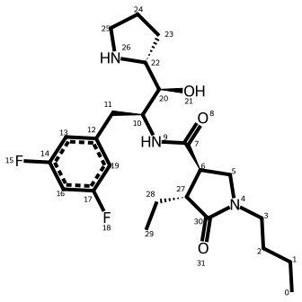 CCCCN1C[C@H](C(=O)N[C@@H](Cc2cc(F)cc(F)c2)[C@H](O)[C@H]2CCCN2)[C@@H](CC)C1=O